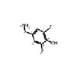 NCc1cc(F)c(O)c(F)c1